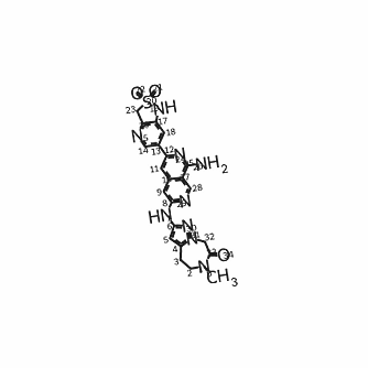 CN1CCc2cc(Nc3cc4cc(-c5cnc6c(c5)NS(=O)(=O)C6)nc(N)c4cn3)nn2CC1=O